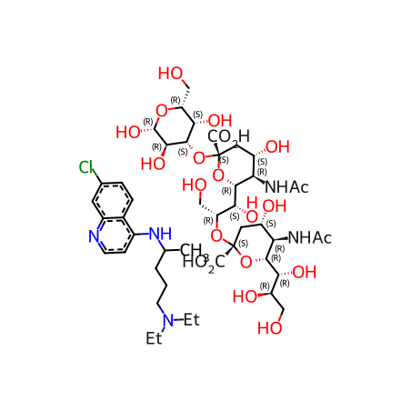 CC(=O)N[C@H]1[C@H]([C@H](O)[C@H](O)CO)O[C@@](O[C@H](CO)[C@@H](O)[C@@H]2O[C@@](O[C@@H]3[C@@H](O)[C@H](O)O[C@H](CO)[C@@H]3O)(C(=O)O)C[C@H](O)[C@H]2NC(C)=O)(C(=O)O)C[C@@H]1O.CCN(CC)CCCC(C)Nc1ccnc2cc(Cl)ccc12